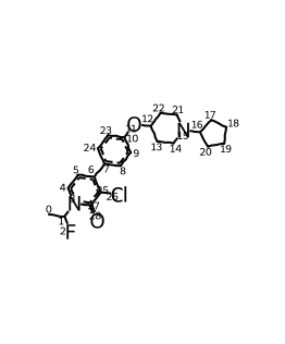 CC(F)n1ccc(-c2ccc(OC3CCN(C4CCCC4)CC3)cc2)c(Cl)c1=O